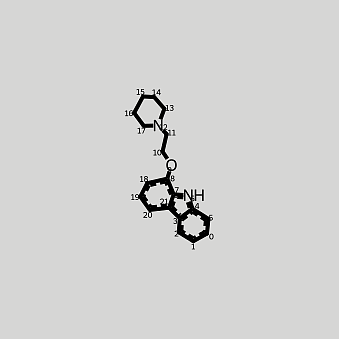 c1ccc2c(c1)[nH]c1c(OCCN3CCCCC3)cccc12